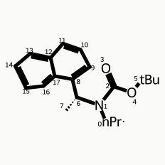 CC[CH]N(C(=O)OC(C)(C)C)[C@H](C)c1cccc2ccccc12